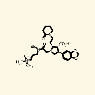 CCCCN(CCC[N+](C)(C)C)C(=O)CN1C[C@H](c2ccc3c(c2)OCO3)[C@@H](C(=O)O)[C@@H]1CCN1CCCCC1=O